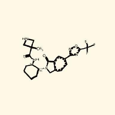 CC1(C(=O)N[C@@H]2CCCC[C@H]2N2Cc3ccc(-c4noc(C(F)(F)F)n4)cc3C2=O)CNC1